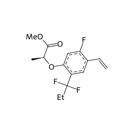 C=Cc1cc(C(F)(F)CC)c(O[C@@H](C)C(=O)OC)cc1F